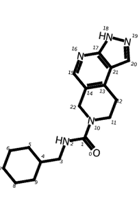 O=C(NCC1CCCCC1)N1CCc2c(cnc3[nH]ncc23)C1